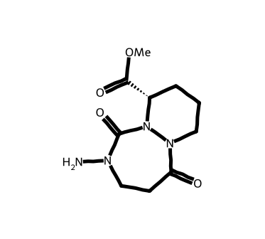 COC(=O)[C@@H]1CCCN2C(=O)CCN(N)C(=O)N12